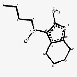 CCCC[S+]([O-])c1c(N)sc2c1CCCC2